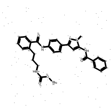 Cn1nc(-c2ccc(NC(=O)c3ccccc3CCCNC(=O)OC(C)(C)C)cc2)cc1NC(=O)c1ccccc1